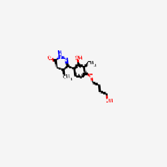 Cc1c(OCCCCO)ccc(C2=NNC(=O)CC2C)c1O